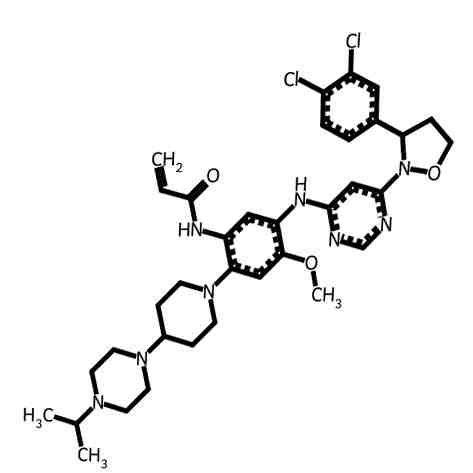 C=CC(=O)Nc1cc(Nc2cc(N3OCCC3c3ccc(Cl)c(Cl)c3)ncn2)c(OC)cc1N1CCC(N2CCN(C(C)C)CC2)CC1